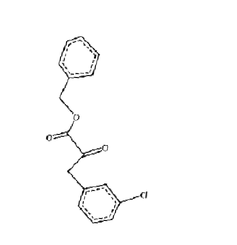 O=C(Cc1cccc(Cl)c1)C(=O)OCc1ccccc1